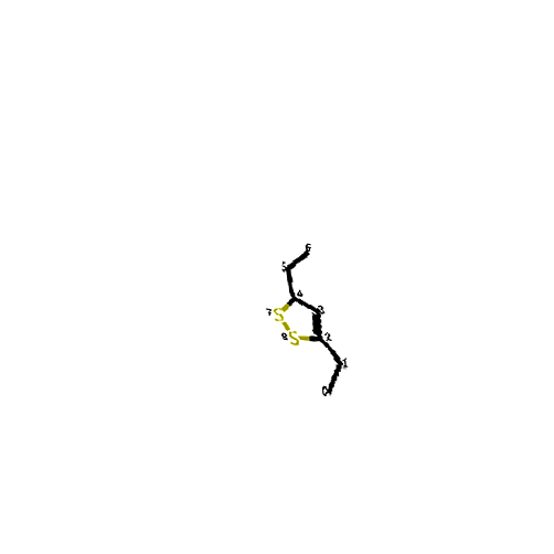 CCC1=CC(CC)SS1